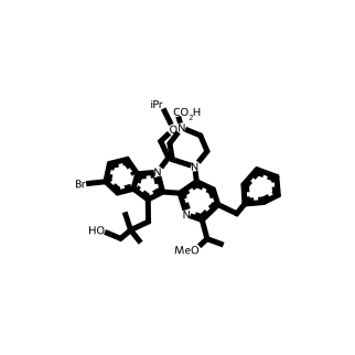 COC(C)c1nc(-c2c(CC(C)(C)CO)c3cc(Br)ccc3n2CCOC(C)C)c(N2CCN(C(=O)O)CC2)cc1Cc1ccccc1